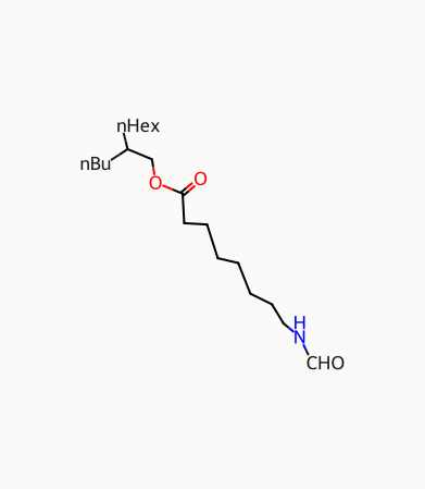 CCCCCCC(CCCC)COC(=O)CCCCCCCNC=O